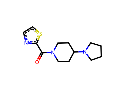 O=C(c1nccs1)N1CCC(N2CCCC2)CC1